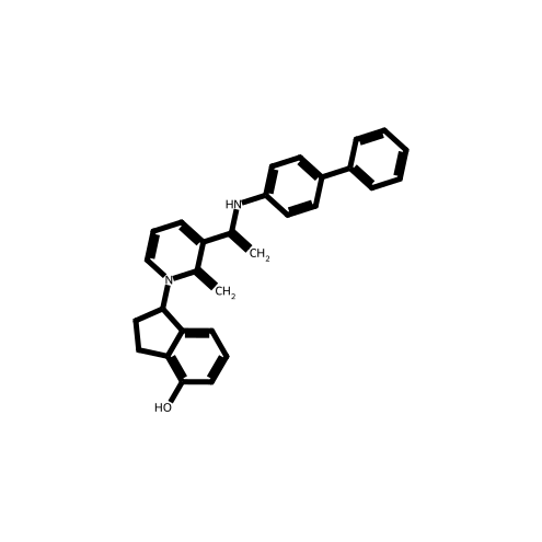 C=C(Nc1ccc(-c2ccccc2)cc1)C1=CC=CN(C2CCc3c(O)cccc32)C1=C